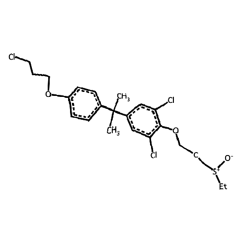 CC[S+]([O-])CCCOc1c(Cl)cc(C(C)(C)c2ccc(OCCCCl)cc2)cc1Cl